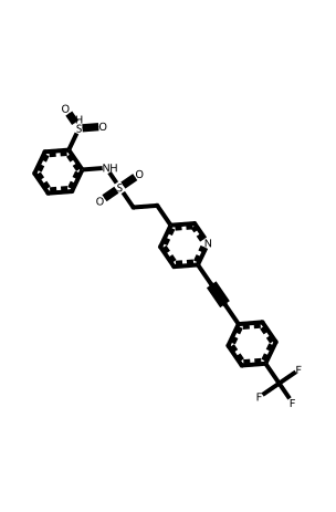 O=[SH](=O)c1ccccc1NS(=O)(=O)CCc1ccc(C#Cc2ccc(C(F)(F)F)cc2)nc1